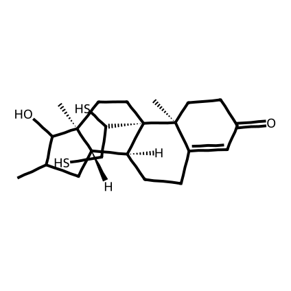 CC1C[C@H]2[C@@H]3CCC4=CC(=O)CC[C@]4(C)[C@]3(C(S)CS)CC[C@]2(C)C1O